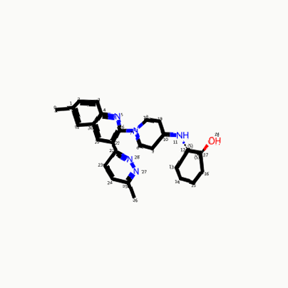 Cc1ccc2nc(N3CCC(N[C@H]4CCCC[C@@H]4O)CC3)c(-c3ccc(C)nn3)cc2c1